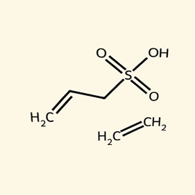 C=C.C=CCS(=O)(=O)O